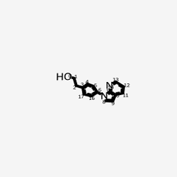 OCCc1ccc(-n2ccc3cccnc32)cc1